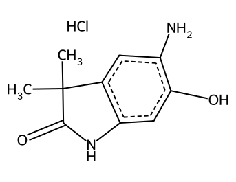 CC1(C)C(=O)Nc2cc(O)c(N)cc21.Cl